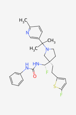 Cc1ccc(C(C)(C)N2CC[C@@](CCc3ccc(F)s3)([C@H](F)NC(=O)Nc3ccccc3)C2)cn1